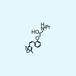 Cc1cc(/C=C\c2ccccc2OCC(O)CNC(C)C)no1